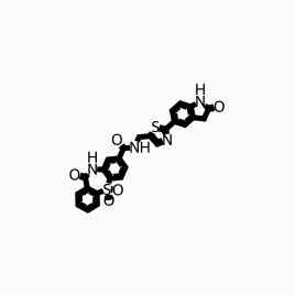 O=C1Cc2cc(-c3ncc(CNC(=O)c4ccc5c(c4)NC(=O)c4ccccc4S5(=O)=O)s3)ccc2N1